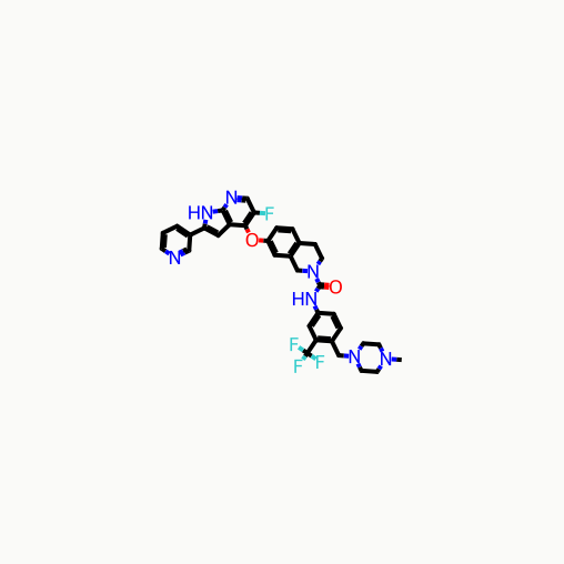 CN1CCN(Cc2ccc(NC(=O)N3CCc4ccc(Oc5c(F)cnc6[nH]c(-c7cccnc7)cc56)cc4C3)cc2C(F)(F)F)CC1